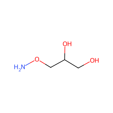 NOCC(O)CO